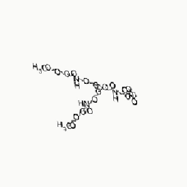 COCCOCCOCC(=O)NCCOCCOCC(COCCOCCNC(=O)COCCOCCOC)OCC(=O)NCCC(=O)ON1C(=O)CCC1=O